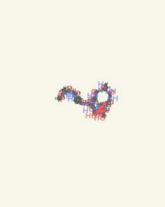 CC[C@H](C)[C@@H]1NC(=O)CNC(=O)[C@H]2Cc3c([nH]c4ccccc34)SCC(NC(=O)CNC1=O)C(=O)N[C@@H](CC(=O)NOCc1ccc(NC(=O)[C@H](C)NC(=O)C(NC(=O)OC(C)(C)C)C(C)C)cc1)C(=O)N1C[C@H](O)C[C@@]1(C=O)N[C@@H]([C@@H](C)[C@@H](O)CO)C(=O)N2